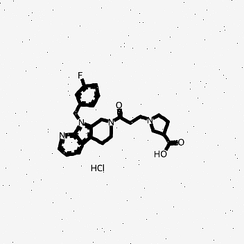 Cl.O=C(O)C1CCN(CCC(=O)N2CCc3c(n(Cc4cccc(F)c4)c4ncccc34)C2)C1